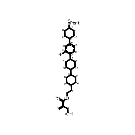 C=C(CO)C(=O)OCCC1CCC(C2CCC(c3ccc(C4CCC(CCCCC)CC4)cc3F)CC2)CC1